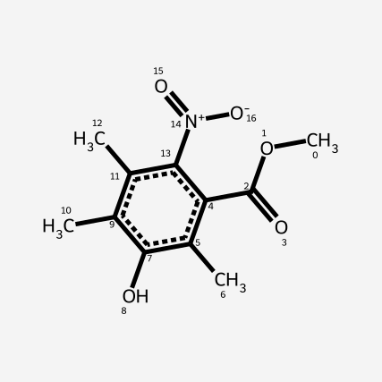 COC(=O)c1c(C)c(O)c(C)c(C)c1[N+](=O)[O-]